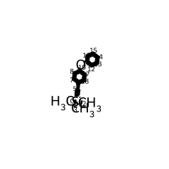 C[Si](C)(C)C#Cc1ccc(Oc2ccccc2)cc1